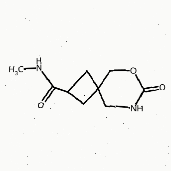 CNC(=O)C1CC2(CNC(=O)OC2)C1